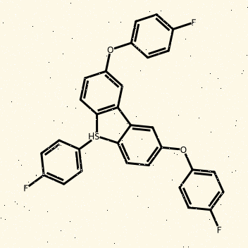 Fc1ccc(Oc2ccc3c(c2)-c2cc(Oc4ccc(F)cc4)ccc2[SH]3c2ccc(F)cc2)cc1